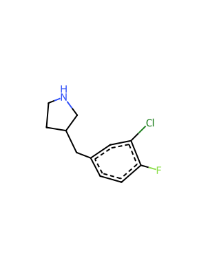 Fc1ccc(CC2CCNC2)cc1Cl